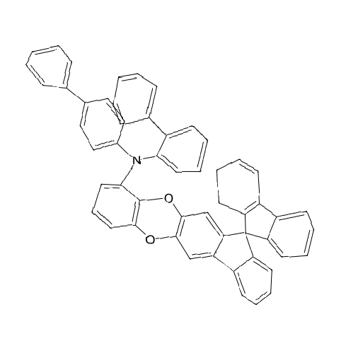 C1=CC2=C(CC1)C1(c3ccccc32)c2ccccc2-c2cc3c(cc21)Oc1c(cccc1N(c1ccc(-c2ccccc2)cc1)c1ccccc1-c1ccccc1)O3